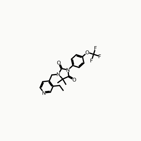 CCc1cnccc1CN1C(=O)N(c2ccc(OC(F)(F)F)cc2)C(=O)C1(C)C